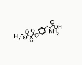 COC(=O)C(=O)C(=O)Oc1ccc(C[C@H](N)C(=O)O)cc1